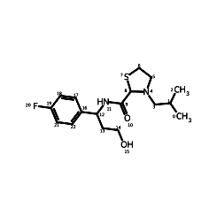 C[C](C)CN1CCSC1C(=O)NC(CCO)c1ccc(F)cc1